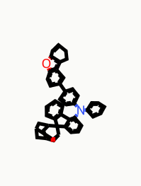 C1=Cc2oc3ccc(-c4ccc(N(c5ccccc5)c5cccc6c5-c5ccccc5C65C6CC7CC(C6)CC5C7)cc4)cc3c2CC1